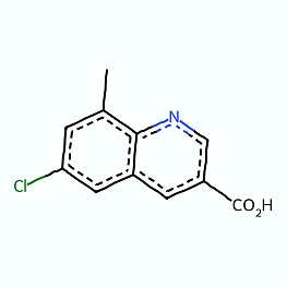 Cc1cc(Cl)cc2cc(C(=O)O)cnc12